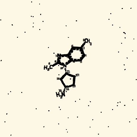 Cc1ccc2c(c1)nc(C)n2[C@@H]1CC[C@H](N)C1